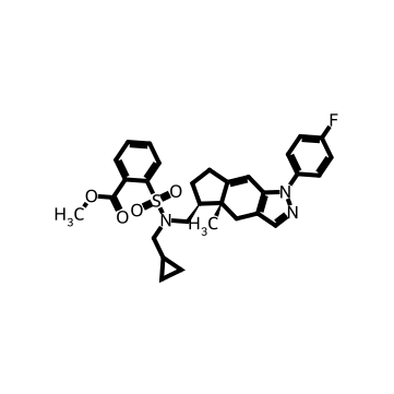 COC(=O)c1ccccc1S(=O)(=O)N(CC1CC1)C[C@H]1CCC2=Cc3c(cnn3-c3ccc(F)cc3)C[C@@]21C